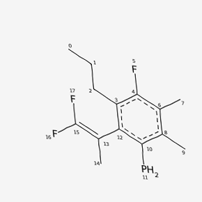 CCCc1c(F)c(C)c(C)c(P)c1C(C)=C(F)F